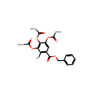 CCCCCC(=O)Oc1cc(C(=O)OCc2ccccc2)c(C(C)=O)c(OC(=O)CCCCC)c1OC(=O)CCCCC